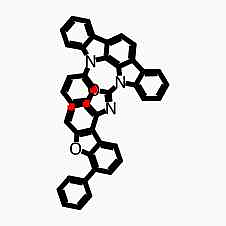 c1ccc(-c2cccc3c2oc2ccc4oc(-n5c6ccccc6c6ccc7c8ccccc8n(-c8ccccc8)c7c65)nc4c23)cc1